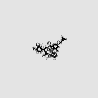 Cc1cc(C(CNC(=O)c2cc(Cn3ccn(C)c3=N)cc(OCC3CC3)c2)C2CC2)ccc1F